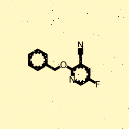 N#Cc1cc(F)cnc1OCc1ccccc1